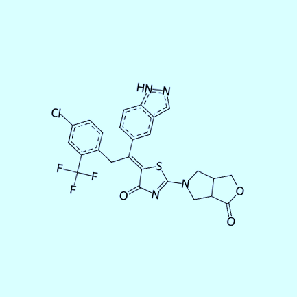 O=C1N=C(N2CC3COC(=O)C3C2)SC1=C(Cc1ccc(Cl)cc1C(F)(F)F)c1ccc2[nH]ncc2c1